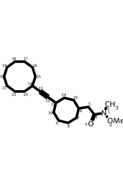 CON(C)C(=O)CC1CCCCC(C#CC2CCCCCCCCC2)CC1